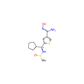 CC(C)(C)[S+]([O-])N[C@H](c1cc(C(N)=NO)cs1)C1CCCC1